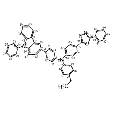 CCc1ccc(N(c2ccc(-c3ccc4c(c3)c3ccccc3n4-c3ccccc3)cc2)c2ccc(-c3nnc(-c4ccccc4)o3)cc2)cc1